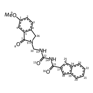 COc1ccc2c(c1)C(=O)N(CNC(=O)NC(=O)c1cc3ccccc3s1)C2